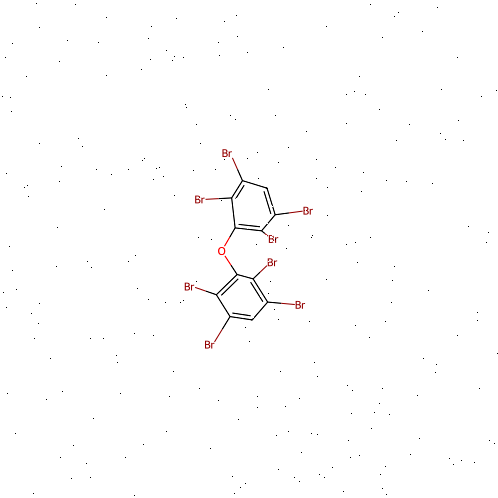 Brc1cc(Br)c(Br)c(Oc2c(Br)c(Br)cc(Br)c2Br)c1Br